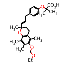 CCOCOc1c(C)c(C)c2c(c1C)CCC(C)(C=CCc1ccc(OC(C)(C)C(=O)O)cc1)O2